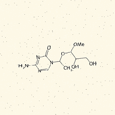 COC(OC(C)n1cnc(N)nc1=O)C(O)CO